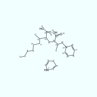 C1=CNC=CC1.CCCCCCC(C)C(CC(C(=O)O)C(C)CN1C=CCC=C1)C(=O)O